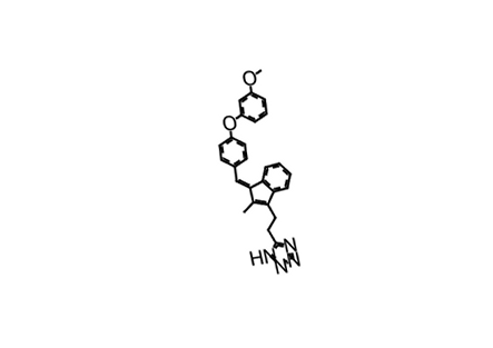 COc1cccc(Oc2ccc(/C=C3/C(C)=C(CCc4nnn[nH]4)c4ccccc43)cc2)c1